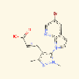 Cc1nn(C)c(-n2ccc3cc(Br)cnc32)c1/C=C/C(=O)O